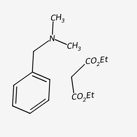 CCOC(=O)CC(=O)OCC.CN(C)Cc1ccccc1